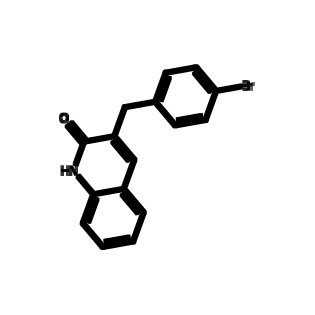 O=c1[nH]c2ccccc2cc1Cc1ccc(Br)cc1